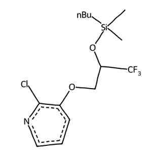 CCCC[Si](C)(C)OC(COc1cccnc1Cl)C(F)(F)F